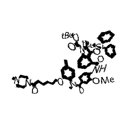 COc1cc(C(=O)N(C)c2ccc(C)cc2OCCCCCC(=O)N2CCN(C)CC2)ccc1NC(=O)c1cccc2c1c(O[Si](c1ccccc1)(c1ccccc1)C(C)(C)C)c(C)n2C(=O)OC(C)(C)C